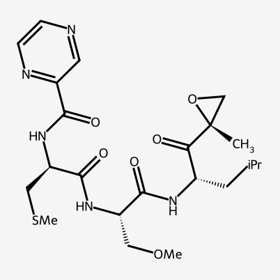 COC[C@H](NC(=O)[C@@H](CSC)NC(=O)c1cnccn1)C(=O)N[C@@H](CC(C)C)C(=O)[C@@]1(C)CO1